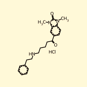 Cl.Cn1c(=O)n(C)c2cc(C(=O)CCCCNCCc3ccccc3)ccc21